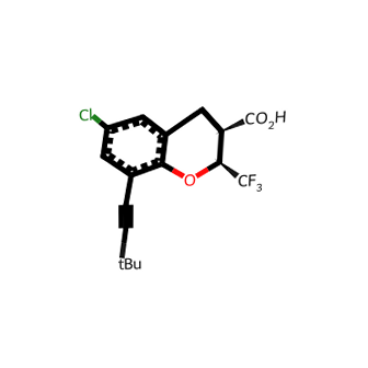 CC(C)(C)C#Cc1cc(Cl)cc2c1O[C@H](C(F)(F)F)[C@H](C(=O)O)C2